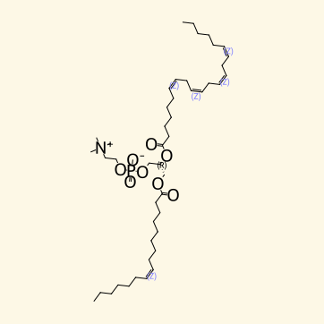 CCCCC/C=C\C/C=C\C/C=C\C/C=C\CCCCCC(=O)O[C@H](COC(=O)CCCCCCC/C=C\CCCCCC)COP(=O)([O-])OCC[N+](C)(C)C